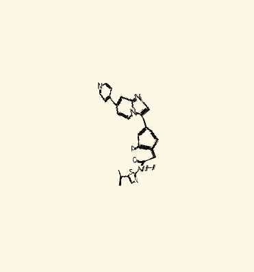 C=C(C)c1cnc(NC(=O)Cc2ccc(-c3cnc4cc(-c5ccncc5)ccn34)cc2F)s1